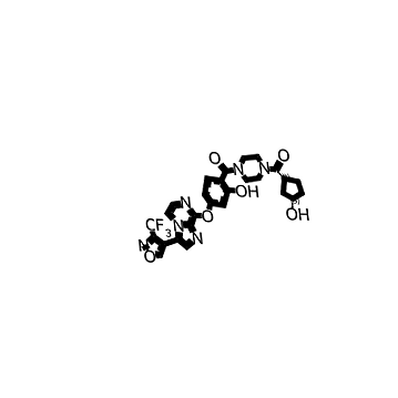 O=C(c1ccc(Oc2nccn3c(-c4conc4C(F)(F)F)cnc23)cc1O)N1CCN(C(=O)[C@@H]2CC[C@H](O)C2)CC1